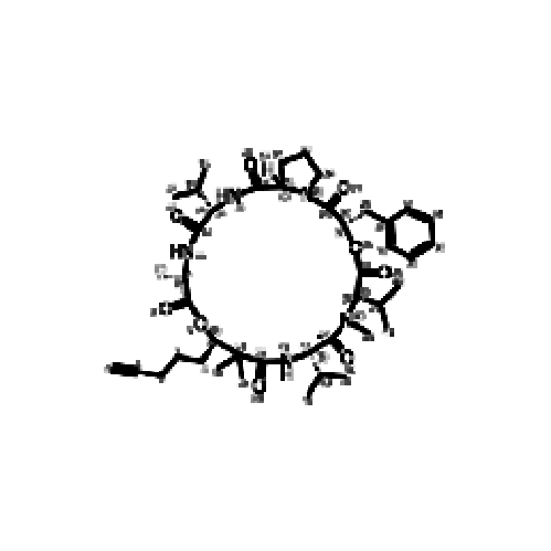 C#CCCC[C@H]1OC(=O)[C@H](C)NC(=O)[C@H](C(C)C)NC(=O)[C@@H]2CCCN2C(=O)[C@H](Cc2ccccc2)OC(=O)[C@@H](C(C)C)N(C)C(=O)[C@H](C(C)C)NC(=O)C1(C)C